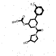 COC(=O)OC1CC(c2cccc(C(F)(F)F)c2)CN(C(=O)N2CCC(O)C2)C1